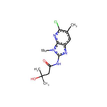 Cc1cc2nc(NC(=O)CC(C)(C)O)n(C(C)(C)C)c2nc1Cl